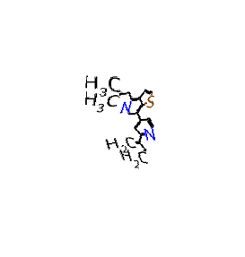 C=CC(=C)c1cc(-c2cnc(CC(C)C)c3ccsc23)ccn1